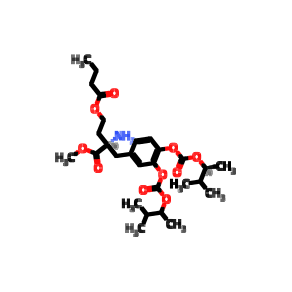 CCCC(=O)OCC[C@@](N)(Cc1ccc(OC(=O)O[C@@H](C)C(C)C)c(OC(=O)OC(C)C(C)C)c1)C(=O)OC